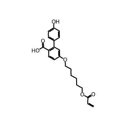 C=CC(=O)OCCCCCCOc1ccc(C(=O)O)c(-c2ccc(O)cc2)c1